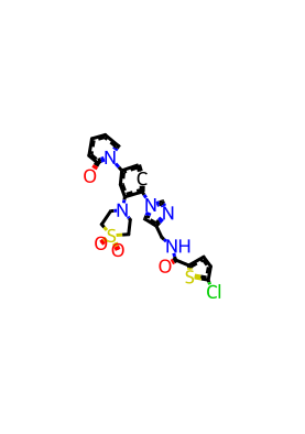 O=C(NCc1cn(-c2ccc(-n3ccccc3=O)cc2N2CCS(=O)(=O)CC2)cn1)c1ccc(Cl)s1